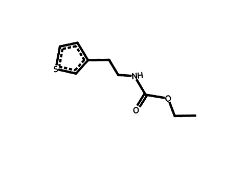 CCOC(=O)NCCc1ccsc1